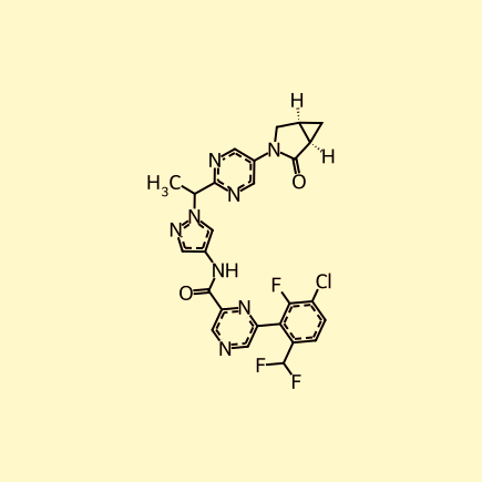 CC(c1ncc(N2C[C@H]3C[C@H]3C2=O)cn1)n1cc(NC(=O)c2cncc(-c3c(C(F)F)ccc(Cl)c3F)n2)cn1